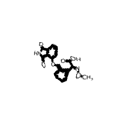 CO/N=C(/C(=O)O)c1ccccc1COc1cccc2c1C(=O)NC2=O